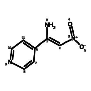 NC(=C[N+](=O)[O-])c1ccncc1